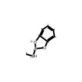 CBB1Oc2ccccc2O1